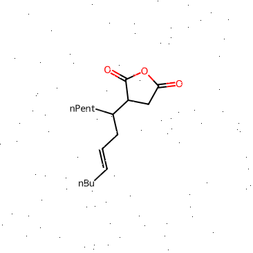 CCCCC=CCC(CCCCC)C1CC(=O)OC1=O